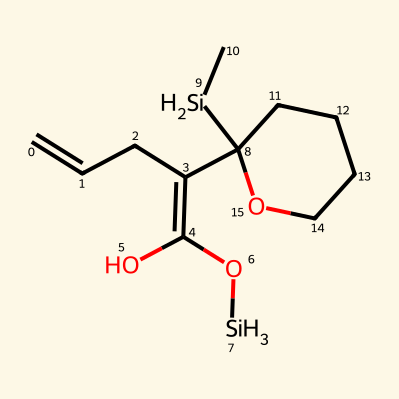 C=CCC(=C(O)O[SiH3])C1([SiH2]C)CCCCO1